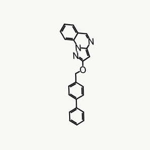 c1ccc(-c2ccc(COc3cc4ncc5ccccc5n4n3)cc2)cc1